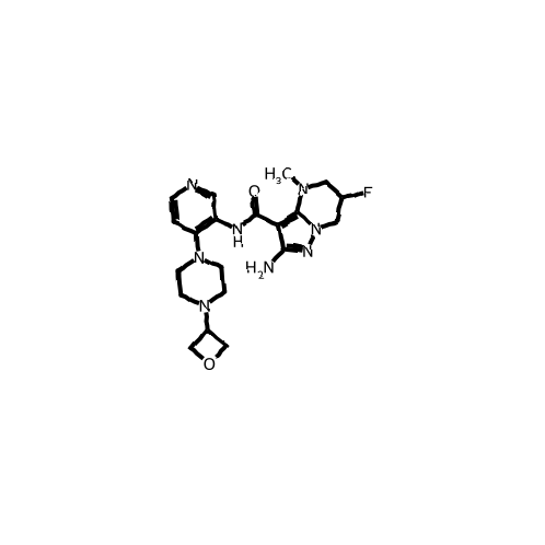 CN1CC(F)Cn2nc(N)c(C(=O)Nc3cnccc3N3CCN(C4COC4)CC3)c21